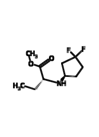 CC[C@@H](N[C@@H]1CCC(F)(F)C1)C(=O)OC